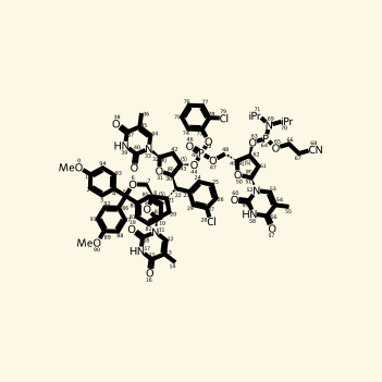 COc1ccc(C(OC[C@@H]2O[C@@H](n3cc(C)c(=O)[nH]c3=O)C[C@H]2C(c2cc[c]c(Cl)c2)[C@H]2O[C@@H](n3cc(C)c(=O)[nH]c3=O)C[C@@H]2OP(=O)(OC[C@H]2O[C@@H](n3cc(C)c(=O)[nH]c3=O)C[C@@H]2OP(OCCC#N)N(C(C)C)C(C)C)Oc2ccccc2Cl)(c2ccccc2)c2ccc(OC)cc2)cc1